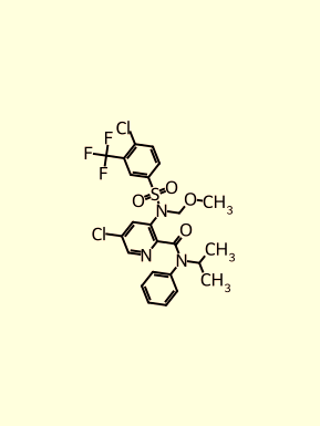 COCN(c1cc(Cl)cnc1C(=O)N(c1ccccc1)C(C)C)S(=O)(=O)c1ccc(Cl)c(C(F)(F)F)c1